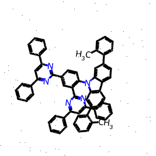 Cc1ccccc1-c1ccc2c3ccc(-c4ccccc4C)cc3n(-c3ccc(-c4nc(-c5ccccc5)cc(-c5ccccc5)n4)cc3-c3nc(-c4ccccc4)cc(-c4ccccc4)n3)c2c1